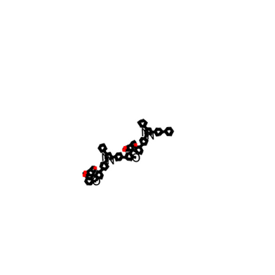 c1ccc(-c2ccc(-c3cc(-c4ccccc4)nc(-c4ccc(-c5ccc6c(c5)C5(c7cc(-c8ccc(-c9cc(-c%10ccccc%10)nc(-c%10ccc(-c%11ccc%12c(c%11)C%11(c%13ccccc%13O%12)c%12ccccc%12-c%12ccccc%12%11)cc%10)n9)cc8)ccc7O6)c6ccccc6-c6ccccc65)cc4)n3)cc2)cc1